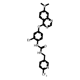 CCc1cc(Oc2ncnc3cc(N(C)C)ccc23)ccc1NC(=O)NCc1ccc(C(F)(F)F)nc1